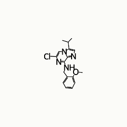 COc1ccccc1CNc1nc(Cl)cn2c(C(C)C)cnc12